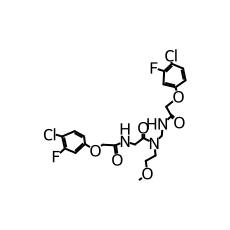 COCCN(CNC(=O)COc1ccc(Cl)c(F)c1)C(=O)CNC(=O)COc1ccc(Cl)c(F)c1